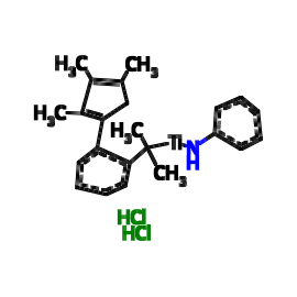 CC1=C(C)C(C)=C(c2ccccc2[C](C)(C)[Ti][NH]c2ccccc2)C1.Cl.Cl